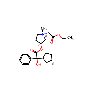 CCOC(=O)C[N@@+]1(C)CC[C@H](OC(=O)C(O)(c2ccccc2)C2CCCC2)C1.[Br-]